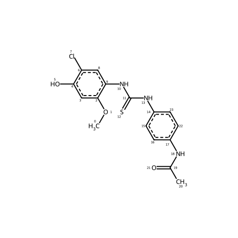 COc1cc(O)c(Cl)cc1NC(=S)Nc1ccc(NC(C)=O)cc1